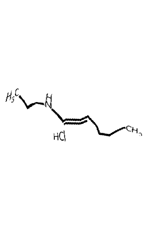 CCC=CNCC.Cl